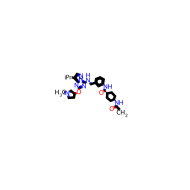 C=CC(=O)N[C@H]1CC[C@@H](C(=O)Nc2cccc(CNc3nc(OC4CCN(C)C4)nc4c(C(C)C)cnn34)c2)CC1